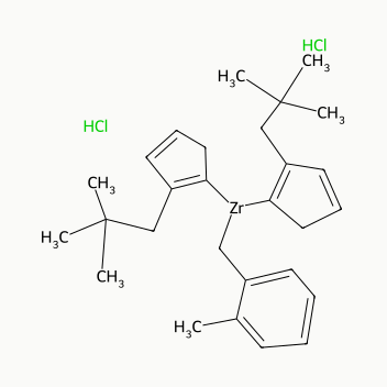 Cc1ccccc1[CH2][Zr]([C]1=C(CC(C)(C)C)C=CC1)[C]1=C(CC(C)(C)C)C=CC1.Cl.Cl